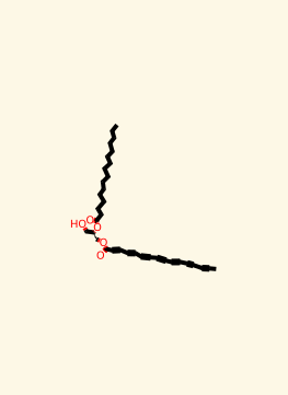 CC#CC#CC#CC#CC#CC#CC#CC(=O)OC[C@H](CO)OC(=O)CCCCCCCCCCCCCCC